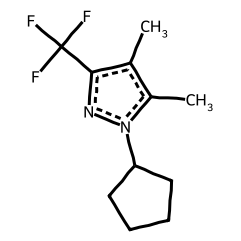 Cc1c(C(F)(F)F)nn(C2CCCC2)c1C